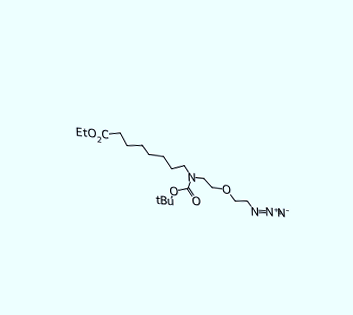 CCOC(=O)CCCCCCCN(CCOCCN=[N+]=[N-])C(=O)OC(C)(C)C